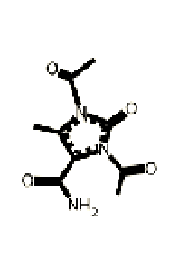 CC(=O)n1c(C)c(C(N)=O)n(C(C)=O)c1=O